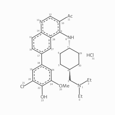 CCN(CC)C[C@H]1CC[C@H](Nc2c(C(C)=O)cnc3ccc(-c4cc(Cl)c(O)c(OC)c4)cc23)CC1.Cl